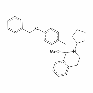 COC1(Cc2ccc(OCc3ccccc3)cc2)c2ccccc2CCN1C1CCCC1